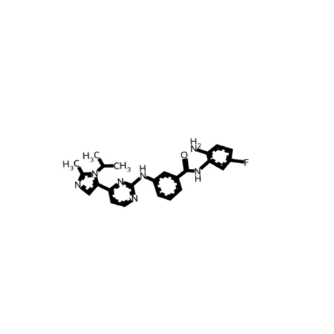 Cc1ncc(-c2ccnc(Nc3cccc(C(=O)Nc4cc(F)ccc4N)c3)n2)n1C(C)C